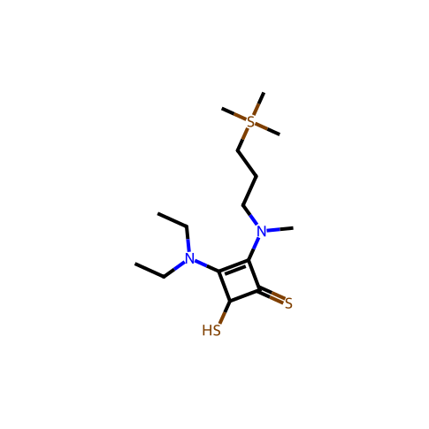 CCN(CC)C1=C(N(C)CCCS(C)(C)C)C(=S)C1S